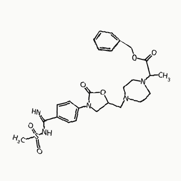 CC(C(=O)OCc1ccccc1)N1CCN(CC2CN(c3ccc(C(=N)NS(C)(=O)=O)cc3)C(=O)O2)CC1